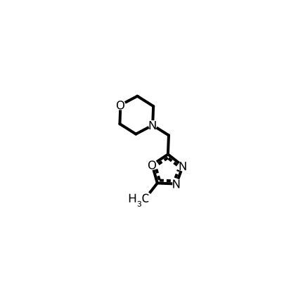 Cc1nnc(CN2CCOCC2)o1